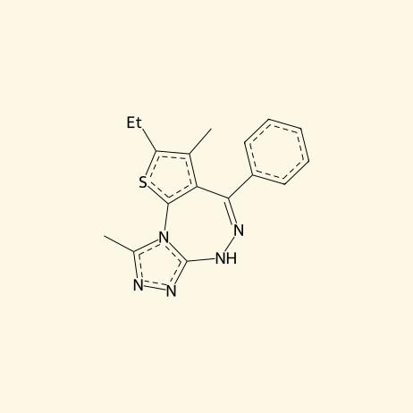 CCc1sc2c(c1C)C(c1ccccc1)=NNc1nnc(C)n1-2